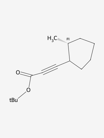 C[C@@H]1CCCCC1C#CC(=O)OC(C)(C)C